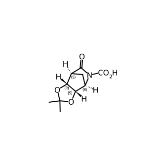 CC1(C)O[C@@H]2[C@H](O1)[C@@H]1C[C@H]2N(C(=O)O)C1=O